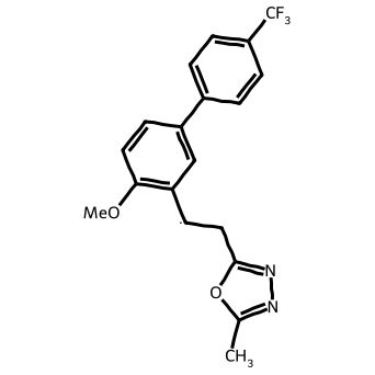 COc1ccc(-c2ccc(C(F)(F)F)cc2)cc1[CH]Cc1nnc(C)o1